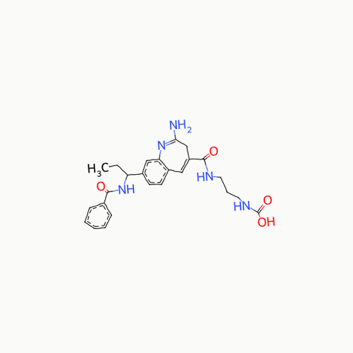 CCC(NC(=O)c1ccccc1)c1ccc2c(c1)N=C(N)CC(C(=O)NCCCNC(=O)O)=C2